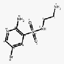 NCCNS(=O)(=O)c1cc(Br)cnc1N